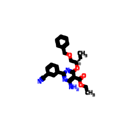 CCOC(=O)c1c(N)nc(-c2cccc(C#N)c2)nc1O[C@@H](CC)COCc1ccccc1